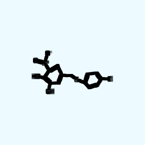 O=[N+]([O-])c1cc(CCc2ccc(Cl)cc2)cc(O)c1O